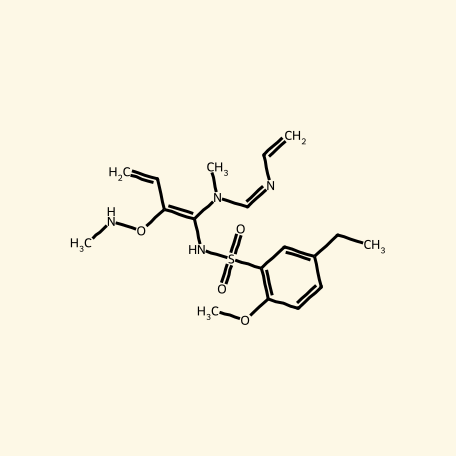 C=C/N=C\N(C)/C(NS(=O)(=O)c1cc(CC)ccc1OC)=C(\C=C)ONC